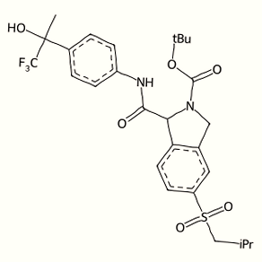 CC(C)CS(=O)(=O)c1ccc2c(c1)CN(C(=O)OC(C)(C)C)C2C(=O)Nc1ccc(C(C)(O)C(F)(F)F)cc1